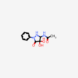 CC(=O)NC1NN(c2ccccc2)C(=O)C1(O)O